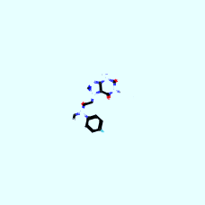 CCN(C(=O)CN1C=NC2C1C(=O)N(C)C(=O)N2C)c1ccc(F)cc1